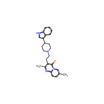 Cc1ccc2nc(C)c(CCN3CCC(c4c[nH]c5ccccc45)CC3)c(=O)n2c1